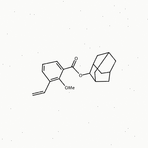 C=Cc1cccc(C(=O)OC2C3CC4CC(C3)CC2C4)c1OC